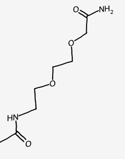 CCC(=O)NCCOCCOCC(N)=O